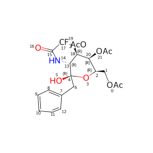 CC(=O)OC[C@H]1O[C@](O)(Cc2ccccc2)[C@H](NC(=O)C(F)(F)F)[C@@H](OC(C)=O)[C@H]1OC(C)=O